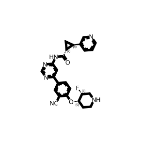 N#Cc1cc(-c2cc(NC(=O)[C@@H]3C[C@H]3c3cccnc3)ncn2)ccc1O[C@H]1CCNC[C@H]1F